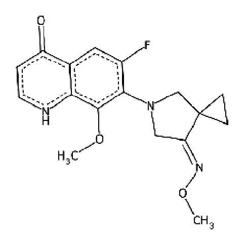 CON=C1CN(c2c(F)cc3c(=O)cc[nH]c3c2OC)CC12CC2